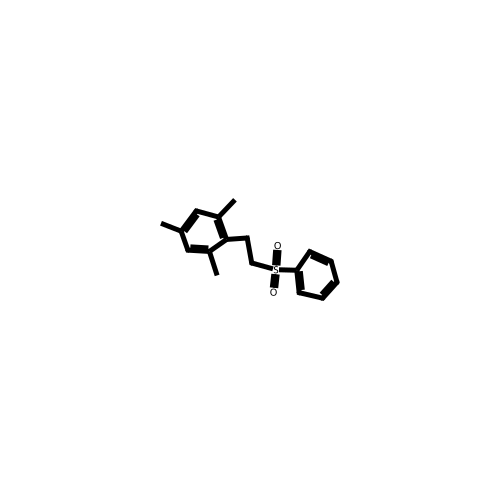 Cc1cc(C)c(CCS(=O)(=O)c2ccccc2)c(C)c1